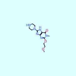 COCCOc1nc2nc(N3CCNCC3)[nH]c2c(=O)n1C